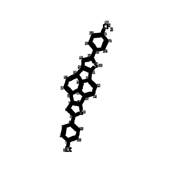 CCc1ccc(-c2cc3c(s2)-c2ccc4c5c(ccc-3c25)-c2cc(-c3ccc(C(F)(F)F)cc3)sc2-4)cc1